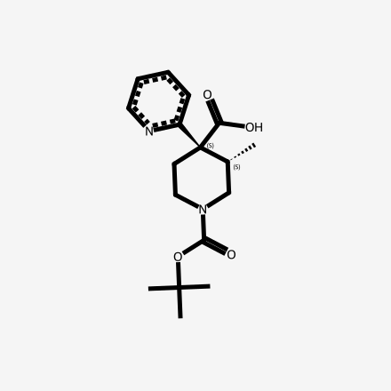 C[C@@H]1CN(C(=O)OC(C)(C)C)CC[C@@]1(C(=O)O)c1ccccn1